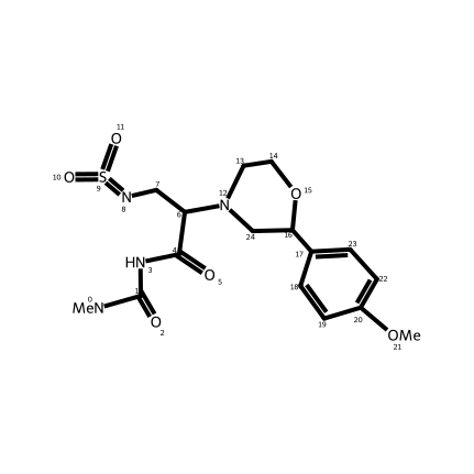 CNC(=O)NC(=O)C(CN=S(=O)=O)N1CCOC(c2ccc(OC)cc2)C1